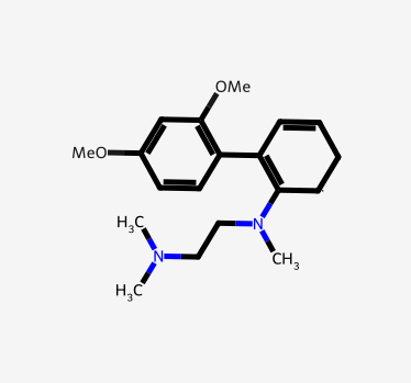 COc1ccc(C2=C(N(C)CCN(C)C)[CH]CC=C2)c(OC)c1